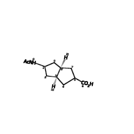 CC(=O)NC1C[C@@H]2CC(C(=O)O)C[C@@H]2C1